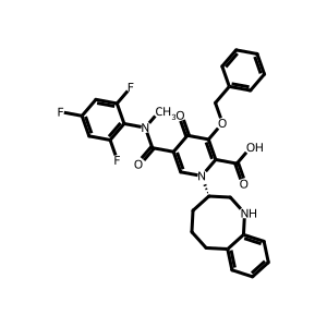 CN(C(=O)c1cn([C@H]2CCCc3ccccc3NC2)c(C(=O)O)c(OCc2ccccc2)c1=O)c1c(F)cc(F)cc1F